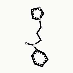 [O-][S+](CCCn1ccnc1)c1ccccc1